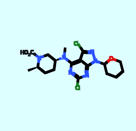 C[C@H]1CC[C@@H](N(C)c2nc(Cl)nc3c2c(Cl)nn3C2CCCCO2)CN1C(=O)O